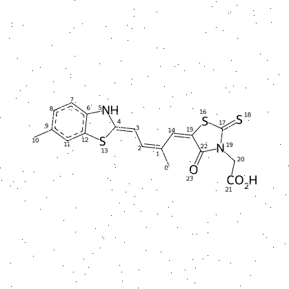 CC(=CC=C1Nc2ccc(C)cc2S1)C=C1SC(=S)N(CC(=O)O)C1=O